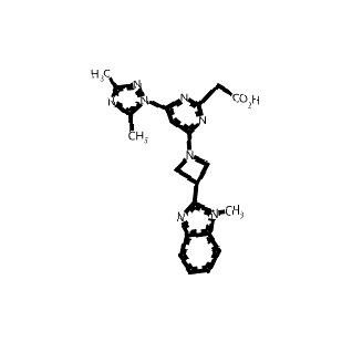 Cc1nc(C)n(-c2cc(N3CC(c4nc5ccccc5n4C)C3)nc(CC(=O)O)n2)n1